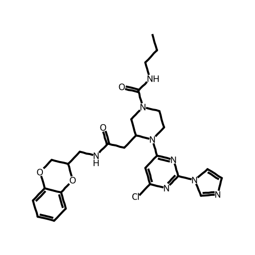 CCCNC(=O)N1CCN(c2cc(Cl)nc(-n3ccnc3)n2)C(CC(=O)NCC2COc3ccccc3O2)C1